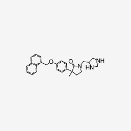 CC1(c2ccc(OCc3cccc4ccccc34)cc2)CCN(CC2CNCN2)C1=O